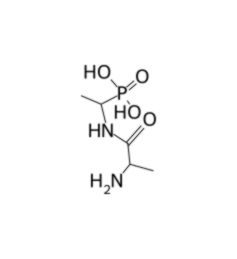 CC(N)C(=O)NC(C)P(=O)(O)O